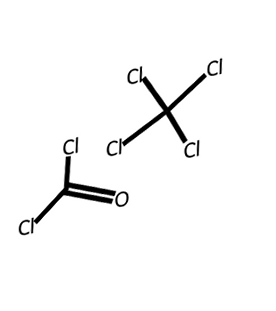 ClC(Cl)(Cl)Cl.O=C(Cl)Cl